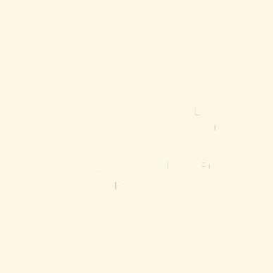 CCC(CC)C(F)(CCCC(C)(F)CC)C(CC)CCCC1(F)CCCCC1